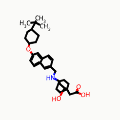 CC(C)(C)C1CCC(Oc2ccc3cc(CNC45CCC(CC(=O)O)(CC4)C(O)C5)ccc3c2)CC1